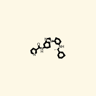 C[C@H](Nc1cccc(-n2cnc3cc(NC(=O)c4cccnc4)ccc32)c1)c1ccccc1